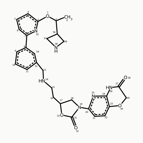 CC(Oc1cccc(-c2cccc(CNCCC3CN(c4ccc5c(n4)NC(=O)CO5)C(=O)O3)c2)n1)C1CNC1